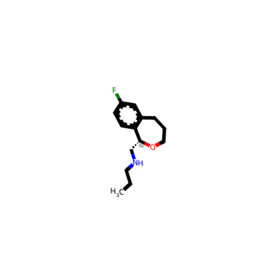 CCCNC[C@H]1OCCCc2cc(F)ccc21